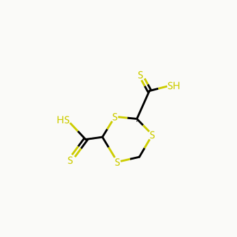 S=C(S)[C]1SCSC(C(=S)S)S1